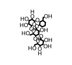 CC1OC(OC2C(CO)CCCC2OC2OC(CO)C(O)C(OC3OC(CO)C(O)C(O)C3O)C2O)C(O)C(O)C1O